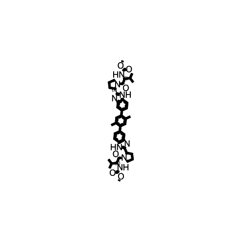 COC(=O)N[C@H](C(=O)N1CCCC1c1nc2cc(-c3cc(C)c(-c4ccc5[nH]c([C@@H]6CCCN6C(=O)[C@@H](NC(=O)OC)C(C)C)nc5c4)cc3C)ccc2[nH]1)C(C)C